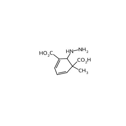 CC1(C(=O)O)C=CC=C(C(=O)O)C1NN